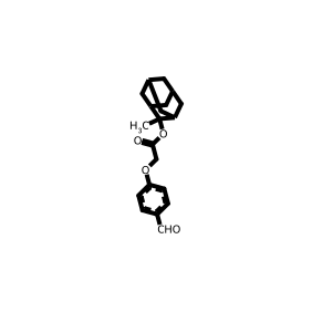 CC1(OC(=O)COc2ccc(C=O)cc2)C2CC3CC(C2)CC1C3